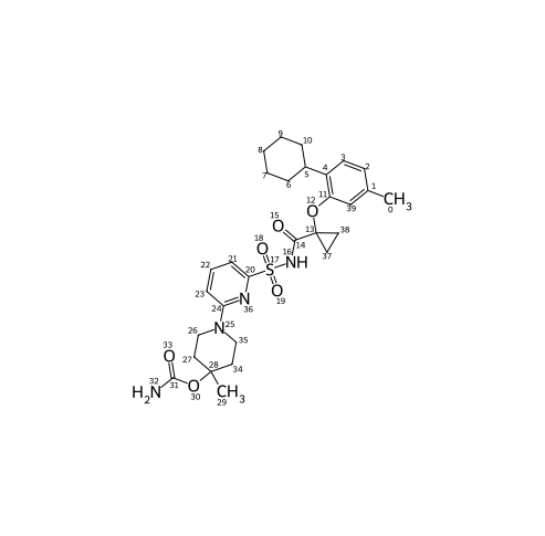 Cc1ccc(C2CCCCC2)c(OC2(C(=O)NS(=O)(=O)c3cccc(N4CCC(C)(OC(N)=O)CC4)n3)CC2)c1